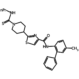 CCCNC(=S)N1CCC(c2nc(C(=O)Nc3ccc(C)cc3-c3ccccc3)cs2)CC1